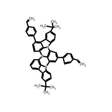 C=Cc1ccc(-c2cc3c4c(c2)-n2c5ccc(C(C)(C)C)cc5c5c(-c6ccc(C=C)cc6)ccc(c52)B4c2cccc4c5cc(C(C)(C)C)ccc5n-3c24)cc1